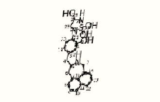 Oc1cc(CC2Cc3cccc4cccc(c34)CN2)ccc1N1CC(O)NS1(O)O